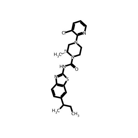 CCC(C)c1ccc2nc(NC(=O)N3CCN(c4ncccc4Cl)C[C@H]3C)sc2c1